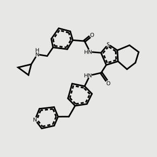 O=C(Nc1sc2c(c1C(=O)Nc1ccc(Cc3ccncc3)cc1)CCCC2)c1cccc(CNC2CC2)c1